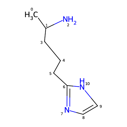 CC(N)CCCc1ncc[nH]1